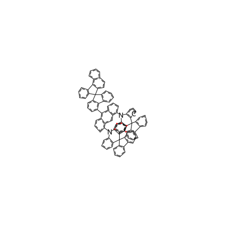 c1ccc2c(c1)-c1ccccc1C21c2ccccc2N(c2cccc3c(-c4cccc5c4-c4ccccc4C54c5ccccc5-c5c4ccc4ccccc54)c4cccc(N5c6ccccc6C6(c7ccccc7-c7ccccc76)c6ccccc65)c4cc23)c2ccccc21